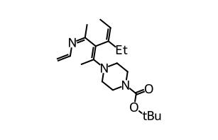 C=C\N=C(C)/C(C(=C\C)/CC)=C(\C)N1CCN(C(=O)OC(C)(C)C)CC1